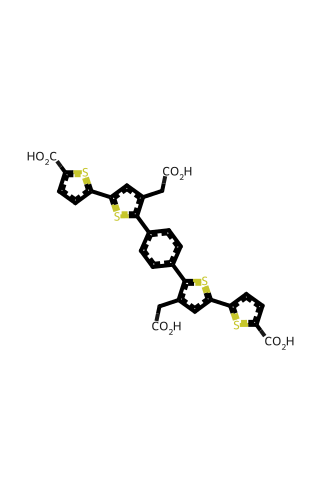 O=C(O)Cc1cc(-c2ccc(C(=O)O)s2)sc1-c1ccc(-c2sc(-c3ccc(C(=O)O)s3)cc2CC(=O)O)cc1